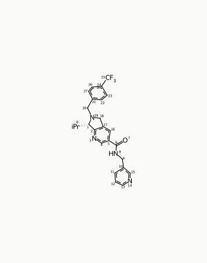 CC(C)[C@H]1c2ncc(C(=O)NCc3cccnc3)cc2CN1Cc1ccc(C(F)(F)F)cc1